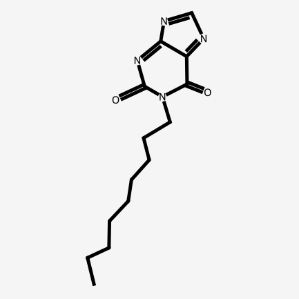 CCCCCCCCCN1C(=O)N=C2N=CN=C2C1=O